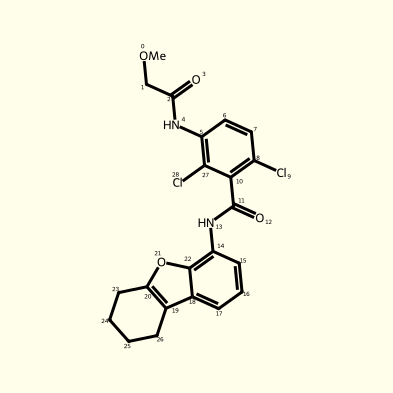 COCC(=O)Nc1ccc(Cl)c(C(=O)Nc2cccc3c4c(oc23)CCCC4)c1Cl